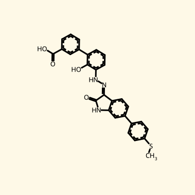 CSc1ccc(-c2ccc3c(c2)NC(=O)C3=NNc2cccc(-c3cccc(C(=O)O)c3)c2O)cc1